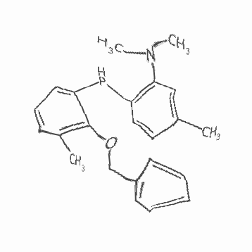 Cc1ccc(Pc2cccc(C)c2OCc2ccccc2)c(N(C)C)c1